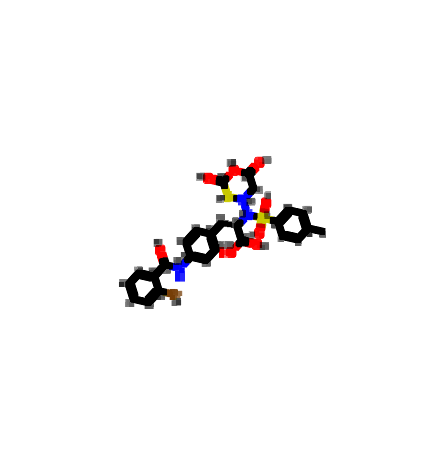 Cc1ccc(S(=O)(=O)N([C@@H](Cc2ccc(NC(=O)c3ccccc3Br)cc2)C(=O)O)N2CC(=O)OC(=O)S2)cc1